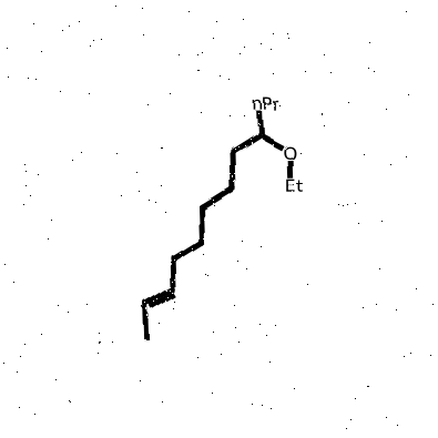 CC=CCCCCCC(CCC)OCC